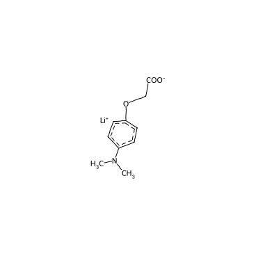 CN(C)c1ccc(OCC(=O)[O-])cc1.[Li+]